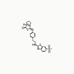 CS(=O)(=O)c1ccc2nc(NCCc3ccc(/N=C4\SC(=O)[C@@H]5CCCN45)cc3)sc2c1